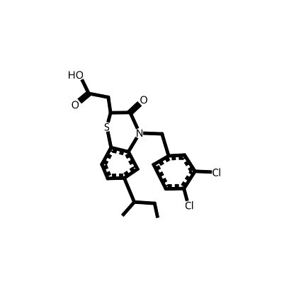 CCC(C)c1ccc2c(c1)N(Cc1ccc(Cl)c(Cl)c1)C(=O)C(CC(=O)O)S2